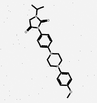 COc1ccc(N2CCN(c3ccc(N4C(=O)CN(C(C)C)C4=O)cc3)CC2)cc1